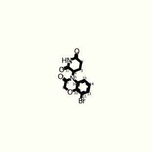 O=C1CCC(N2C(=O)COc3c(Br)cccc32)C(=O)N1